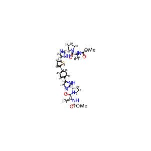 COC(=O)N[C@H](C(=O)N1CCC[C@H]1c1ncc(-c2ccc(-c3ccc(-c4cnc([C@@H]5CCCN5C(=O)[C@@H](NC(=O)OC)C(C)C)[nH]4)s3)cc2)[nH]1)C(C)C